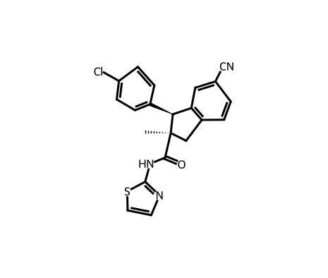 C[C@@]1(C(=O)Nc2nccs2)Cc2ccc(C#N)cc2[C@@H]1c1ccc(Cl)cc1